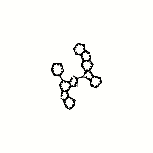 c1ccc(-c2cc3oc4ccccc4c3c3nc(-n4c5ccccc5c5cc6oc7ccccc7c6cc54)oc23)cc1